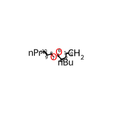 C=CCC(CCCC)C(=O)OCC=CCCC